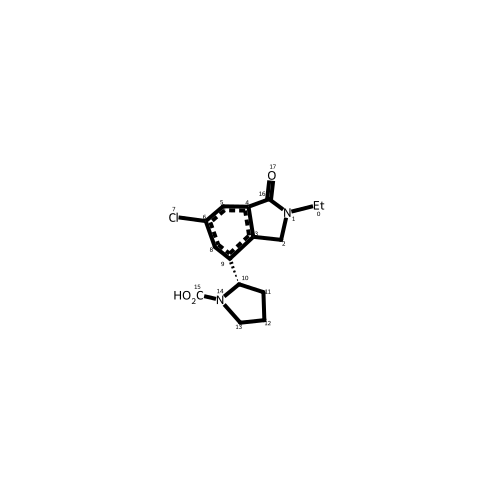 CCN1Cc2c(cc(Cl)cc2[C@@H]2CCCN2C(=O)O)C1=O